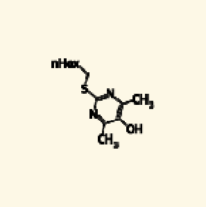 CCCCCCCSc1nc(C)c(O)c(C)n1